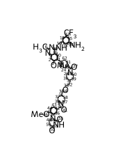 COc1cc2nc(C)nc(NCc3cc(N)cc(C(F)(F)F)c3)c2cc1C1=CCC(C(=O)N2CCC(CCOCC3CCN(C(=O)c4ccc(OC)c(N5CCC(=O)NC5=O)c4)CC3)CC2)CC1